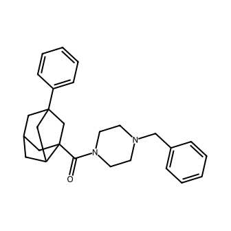 O=C(N1CCN(Cc2ccccc2)CC1)C12CC3CC1CC(c1ccccc1)(C3)C2